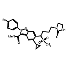 CNC(=O)c1c2cc(C3CC3)c(N(CCCN3CCNC3=O)S(C)(=O)=O)cc2nn1-c1ccc(Br)cc1